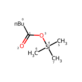 CCCCC(=O)O[Si](C)(C)C